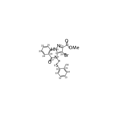 COC(=O)c1n[nH]c(N(CSc2ccccc2C)C(=O)c2ccccc2)c1Br